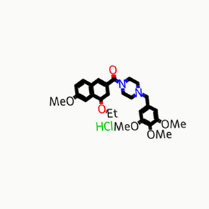 CCOC1CC(C(=O)N2CCN(Cc3cc(OC)c(OC)c(OC)c3)CC2)=Cc2ccc(OC)cc21.Cl